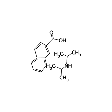 CC(C)NC(C)C.O=C(O)c1ccc2ccccc2c1